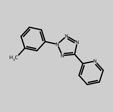 Cc1cccc(-n2nnc(-c3ccccn3)n2)c1